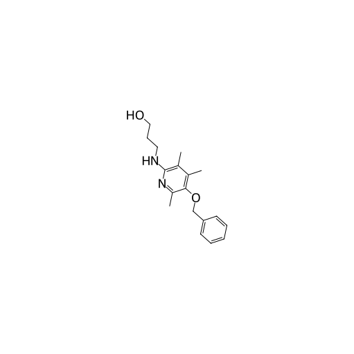 Cc1nc(NCCCO)c(C)c(C)c1OCc1ccccc1